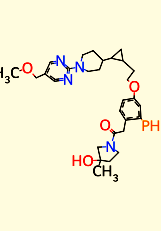 COCc1cnc(N2CCC(C3CC3CCOc3ccc(CC(=O)N4CCC(C)(O)C4)c(P)c3)CC2)nc1